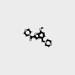 COc1ccc(CN2CCOCC2)c2cc(C(=O)N3CCOCC3)oc12